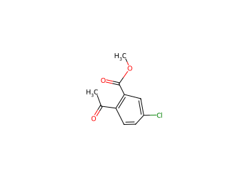 COC(=O)c1cc(Cl)ccc1C(C)=O